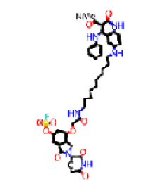 CNC(=O)c1c(Nc2ccccc2)c2cc(NCCCCCCCCCCNC(=O)COc3cc(OS(=O)(=O)F)cc4c3CN(C3CCC(=O)NC3=O)C4=O)ccc2[nH]c1=O